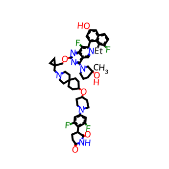 CCc1c(F)ccc2cc(O)cc(-c3ncc4c(N5CCC[C@@](C)(O)C5)nc(OCC5(CN6CCC7(CCC(OC8CCN(c9cc(F)c(C%10CCC(=O)NC%10=O)c(F)c9)CC8)CC7)CC6)CC5)nc4c3F)c12